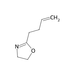 C=CCCC1=NCCO1